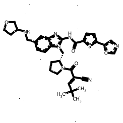 CC(C)(C)/C=C(\C#N)C(=O)N1CCC[C@@H]1Cn1c(NC(=O)c2ccc(-c3cnco3)s2)nc2cc(CNC3CCOC3)ccc21